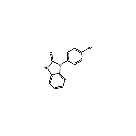 CC(=O)c1ccc(-n2c(=O)[nH]c3cccnc32)cc1